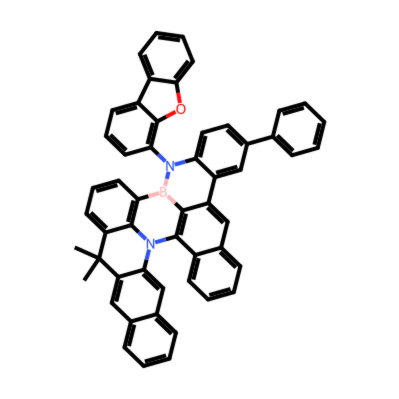 CC1(C)c2cc3ccccc3cc2N2c3c(cccc31)B1c3c(cc4ccccc4c32)-c2cc(-c3ccccc3)ccc2N1c1cccc2c1oc1ccccc12